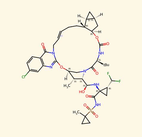 C[C@H]1[C@@H]([C@H](O)N[C@]2(C(=O)NS(=O)(=O)C3(C)CC3)C[C@H]2C(F)F)N2C[C@@H]1Oc1nc3cc(Cl)ccc3c(=O)n1C/C=C/CC[C@@H]1[C@H]3C[C@H]3C[C@H]1OC(=O)N[C@@H](C(C)(C)C)C2=O